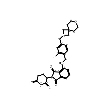 O=C1CCC(N2C(=O)c3cccc(NCc4ccc(CN5CC6(CCOCC6)C5)cc4F)c3C2=O)C(=O)N1